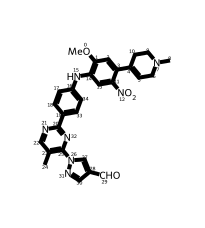 COc1cc(C2=CCN(C)CC2)c([N+](=O)[O-])cc1Nc1ccc(-c2ncc(C)c(-n3cc(C=O)cn3)n2)cc1